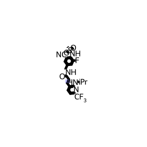 CC(C)Nc1nc(C(F)(F)F)ccc1/C=C/C(=O)NCc1cc(F)c(NS(C)(=O)=O)c(C#N)c1